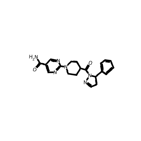 NC(=O)c1cnc(N2CCC(C(=O)N3N=CCC3c3ccccc3)CC2)nc1